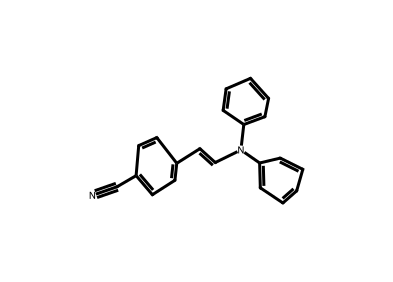 N#Cc1ccc(C=CN(c2ccccc2)c2ccccc2)cc1